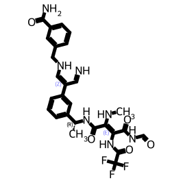 CN/C(C(=O)N[C@H](C)c1cccc(/C(C=N)=C/NCc2cccc(C(N)=O)c2)c1)=C(/NC(=O)C(F)(F)F)C(=O)NC=O